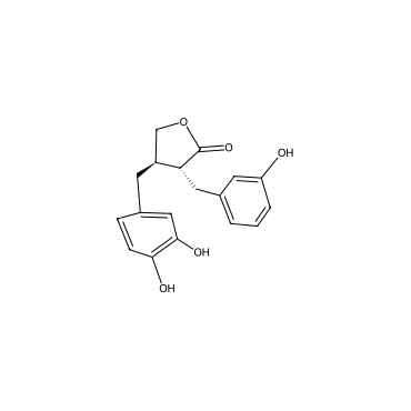 O=C1OC[C@H](Cc2ccc(O)c(O)c2)[C@H]1Cc1cccc(O)c1